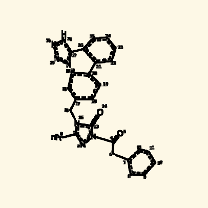 CCCc1nn(C(=O)Cc2ccccc2)c(=O)n1Cc1ccc(-c2ccccc2-c2nnn[nH]2)cc1